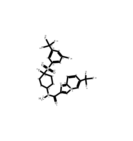 CN(C(=O)c1cn2cc(C(F)(F)F)ccc2n1)C1CCC(F)(S(=O)(=O)c2cc(F)cc(C(F)(F)F)c2)CC1